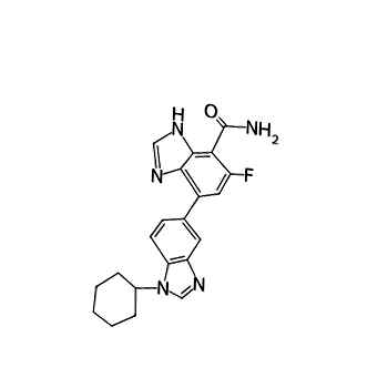 NC(=O)c1c(F)cc(-c2ccc3c(c2)ncn3C2CCCCC2)c2nc[nH]c12